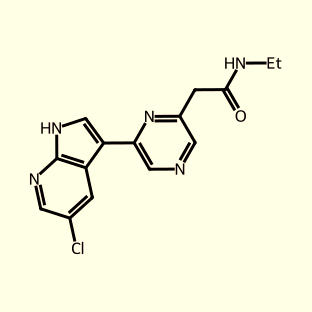 CCNC(=O)Cc1cncc(-c2c[nH]c3ncc(Cl)cc23)n1